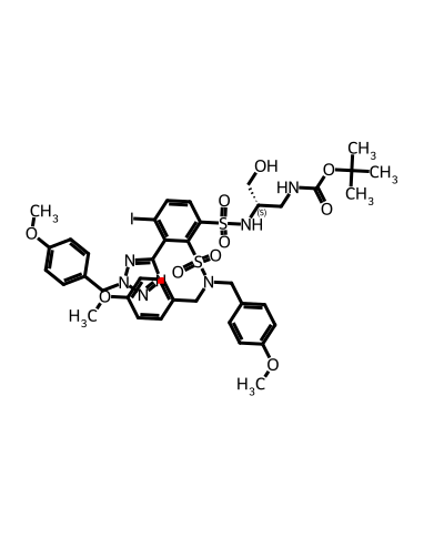 COc1ccc(CN(Cc2ccc(OC)cc2)S(=O)(=O)c2c(S(=O)(=O)N[C@H](CO)CNC(=O)OC(C)(C)C)ccc(I)c2-c2nnn(Cc3ccc(OC)cc3)n2)cc1